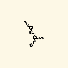 C=CCOCc1cccc(-c2ccnc(Nc3ccc(OCCN4CCCC4)c(COCC=C)c3)n2)c1